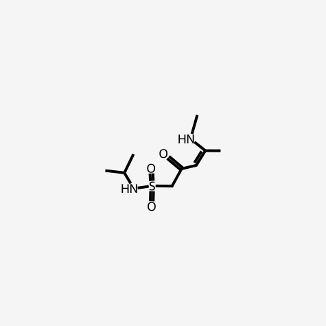 CN/C(C)=C\C(=O)CS(=O)(=O)NC(C)C